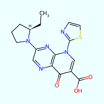 CC[C@@H]1CCCN1c1cnc2c(=O)c(C(=O)O)cn(-c3nccs3)c2n1